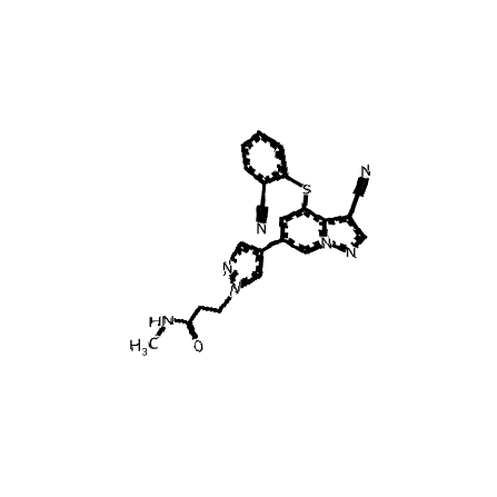 CNC(=O)CCn1cc(-c2cc(Sc3ccccc3C#N)c3c(C#N)cnn3c2)cn1